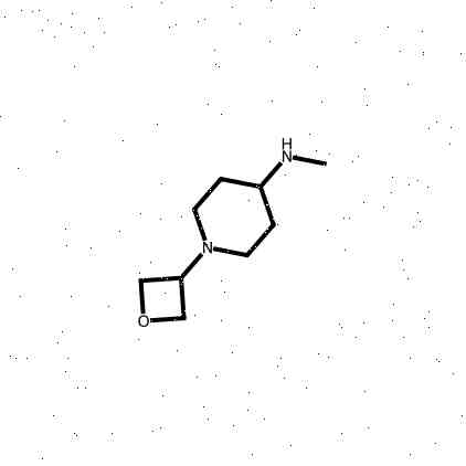 CNC1CCN(C2COC2)CC1